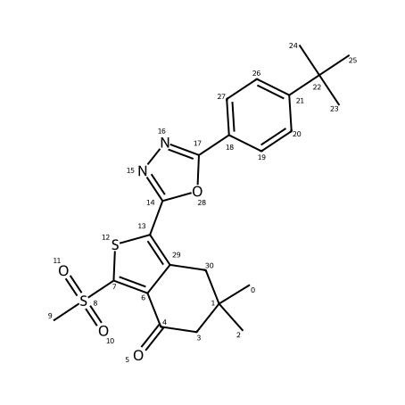 CC1(C)CC(=O)c2c(S(C)(=O)=O)sc(-c3nnc(-c4ccc(C(C)(C)C)cc4)o3)c2C1